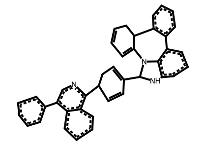 C1=CCC2C(=C1)N1c3c(cccc3-c3ccccc32)NC1C1=CCC(c2ncc(-c3ccccc3)c3ccccc23)C=C1